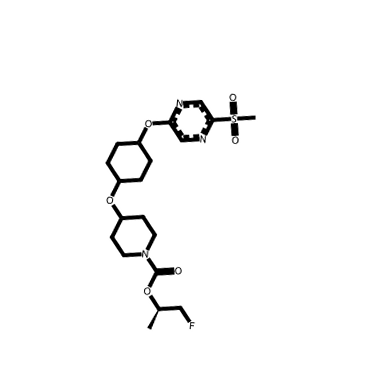 C[C@H](CF)OC(=O)N1CCC(OC2CCC(Oc3cnc(S(C)(=O)=O)cn3)CC2)CC1